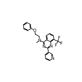 CN(CCOc1ccccc1)c1nc(-c2cccnc2)nc2c(C(F)(F)F)cccc12